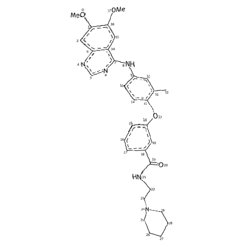 COc1cc2ncnc(Nc3ccc(Oc4cccc(C(=O)NCCN5CCCCC5)c4)c(C)c3)c2cc1OC